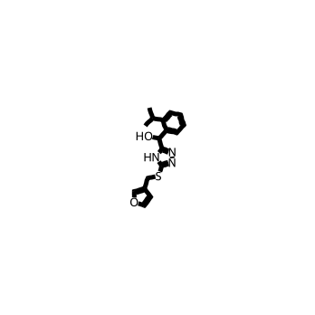 CC(C)c1ccccc1C(O)c1nnc(SCc2ccoc2)[nH]1